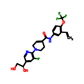 C=Cc1cc(NC(=O)C2=CCN(c3ncc([C@H](O)CO)cc3F)CC2)ccc1OC(F)(F)F